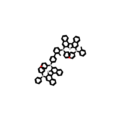 Cc1ccccc1N(c1ccccc1)c1cc2ccccc2c2c1oc1c(N(c3ccccc3)c3cccc(-c4ccc(N(c5ccccc5)c5cc6ccccc6c6c5oc5c(N(c7ccccc7)c7ccccc7)cc7ccccc7c56)cc4)c3C)cc3ccccc3c12